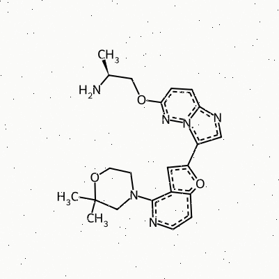 C[C@H](N)COc1ccc2ncc(-c3cc4c(N5CCOC(C)(C)C5)nccc4o3)n2n1